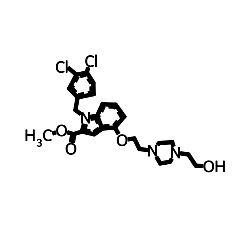 COC(=O)c1cc2c(OCCN3CCN(CCO)CC3)cccc2n1Cc1ccc(Cl)c(Cl)c1